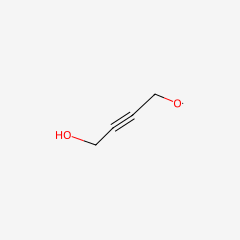 [O]CC#CCO